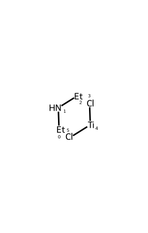 CCNCC.[Cl][Ti][Cl]